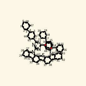 c1ccc(-c2ccc(-c3nc(-c4ccccc4-c4ccccc4)nc(-n4c5ccccc5c5ccc6c7ccc8c9ccccc9n(-c9ccccc9-c9ccccc9)c8c7sc6c54)n3)cc2)cc1